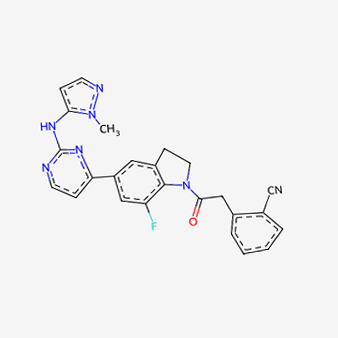 Cn1nccc1Nc1nccc(-c2cc(F)c3c(c2)CCN3C(=O)Cc2ccccc2C#N)n1